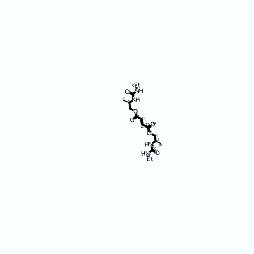 CCNC(=O)N[C@H](C)COC(=O)/C=C/C(=O)OC[C@@H](C)NC(=O)NCC